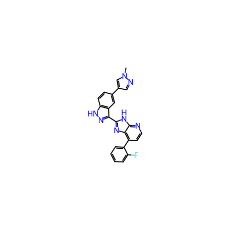 Cn1cc(-c2ccc3[nH]nc(-c4nc5c(-c6ccccc6F)ccnc5[nH]4)c3c2)cn1